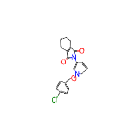 O=C1C2=C(CCCC2)C(=O)N1C1=CN(OCc2ccc(Cl)cc2)CC=C1